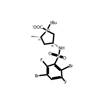 C[C@H]1C[C@@H](NS(=O)(=O)c2c(F)c(Br)cc(F)c2Br)C[N+]1(C(=O)[O-])C(C)(C)C